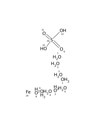 O.O.O.O.O.O.O.O.O.O=S(=O)(O)O.[Fe]